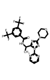 CC(NC(=O)c1cc(C(F)(F)F)cc(C(F)(F)F)c1)c1nc(N2CCOCC2)nn1-c1ncccn1